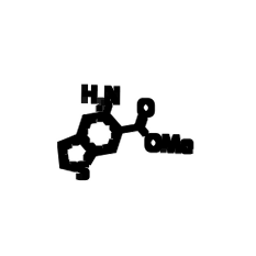 COC(=O)c1cc2sccc2cc1N